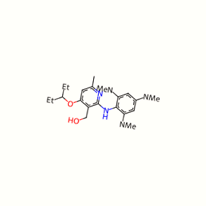 CCC(CC)Oc1cc(C)nc(Nc2c(NC)cc(NC)cc2NC)c1CO